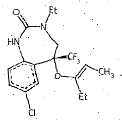 CC=C(CC)O[C@@]1(C(F)(F)F)CN(CC)C(=O)Nc2ccc(Cl)cc21